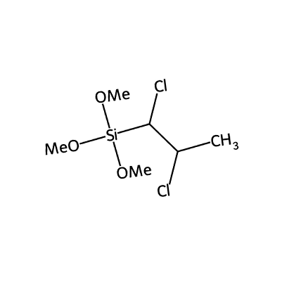 CO[Si](OC)(OC)C(Cl)C(C)Cl